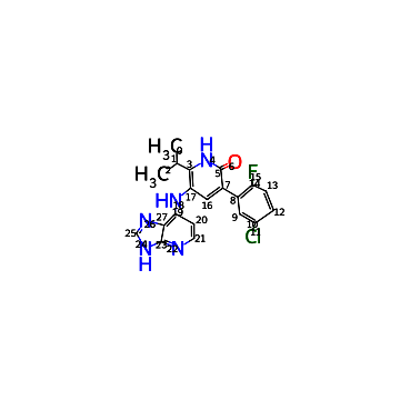 CC(C)c1[nH]c(=O)c(-c2cc(Cl)ccc2F)cc1Nc1ccnc2[nH]cnc12